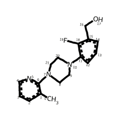 Cc1cccnc1N1CCN(c2cccc(CO)c2F)CC1